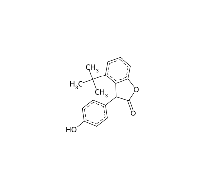 CC(C)(C)c1cccc2c1C(c1ccc(O)cc1)C(=O)O2